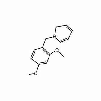 COc1ccc(CN2C=CC=CC2)c(OC)c1